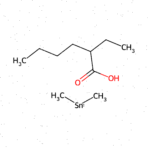 CCCCC(CC)C(=O)O.[CH3][Sn][CH3]